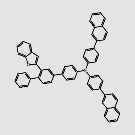 c1ccc(-c2ccc(-c3ccc(N(c4ccc(-c5ccc6ccccc6c5)cc4)c4ccc(-c5ccc6ccccc6c5)cc4)cc3)cc2-c2cc3ccccc3o2)cc1